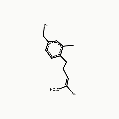 CC(=O)C(=CCCc1ccc(CC(C)C)cc1C)C(=O)O